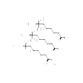 CC(C)(C)CCCCCC(=O)[O-].CC(C)(C)CCCCCC(=O)[O-].CC(C)(C)CCCCCC(=O)[O-].[V+3]